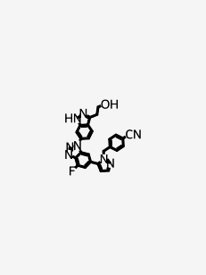 N#Cc1ccc(Cn2nccc2-c2cc(F)c3nnn(-c4ccc5c(CCO)n[nH]c5c4)c3c2)cc1